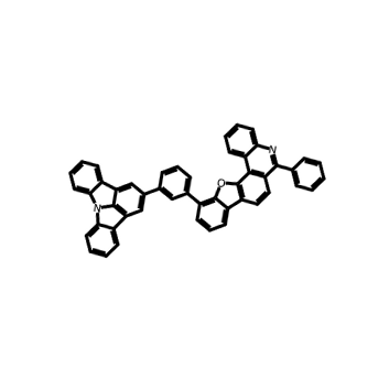 c1ccc(-c2nc3ccccc3c3c2ccc2c4cccc(-c5cccc(-c6cc7c8ccccc8n8c9ccccc9c(c6)c78)c5)c4oc23)cc1